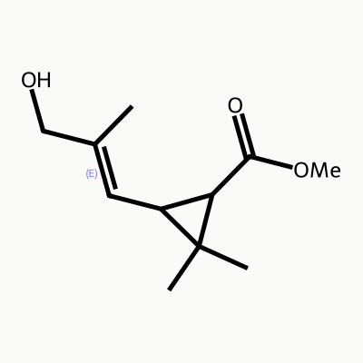 COC(=O)C1C(/C=C(\C)CO)C1(C)C